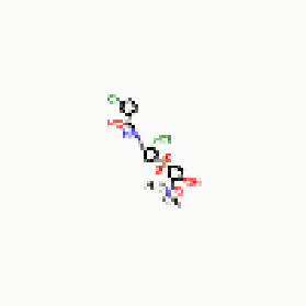 CN(C)C(=O)c1cc(S(=O)(=O)c2ccc(CCNC[C@H](O)c3cccc(Cl)c3)cc2)ccc1O.Cl